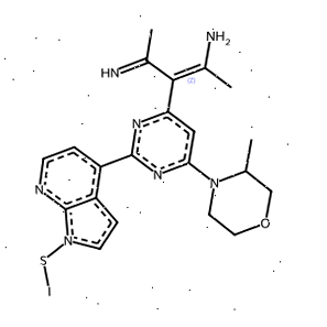 CC(=N)/C(=C(/C)N)c1cc(N2CCOCC2C)nc(-c2ccnc3c2ccn3SI)n1